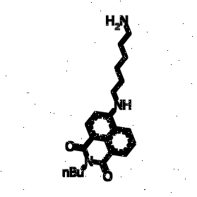 CCCCN1C(=O)c2cccc3c(NCCCCCCN)ccc(c23)C1=O